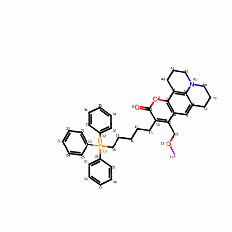 O=c1oc2c3c4c(cc2c(COI)c1CCCCC[PH](c1ccccc1)(c1ccccc1)c1ccccc1)CCCN4CCC3